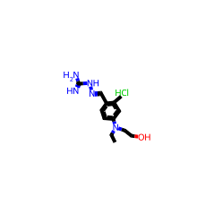 CCN(CCO)c1ccc(C=NNC(=N)N)c(C)c1.Cl